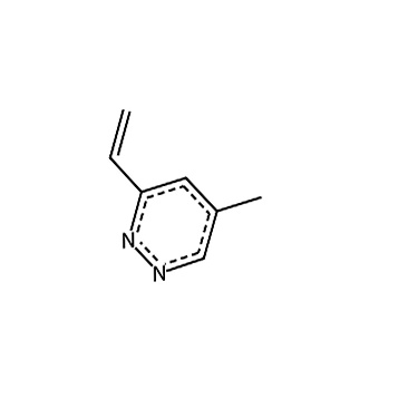 C=Cc1cc(C)cnn1